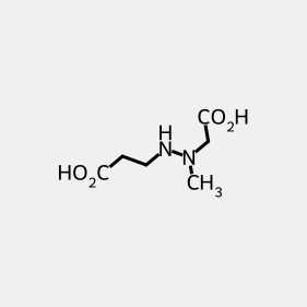 CN(CC(=O)O)NCCC(=O)O